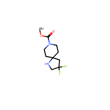 CC(C)(C)OC(=O)N1CCC2(CC1)CC(F)(F)CN2